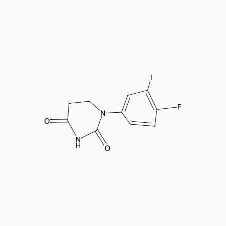 O=C1CCN(c2ccc(F)c(I)c2)C(=O)N1